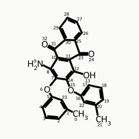 Cc1cccc(Oc2c(N)c3c(c(O)c2Oc2cccc(C)c2)C(=O)c2ccccc2C3=O)c1